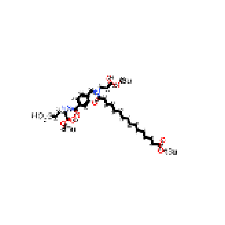 CC(C)(C)OC(=O)CCCCCCCCCCCCCCC(=O)N(CCC(=O)OC(C)(C)C)Cc1ccc(C(=O)N[C@@H](CCC(=O)O)C(=O)OC(C)(C)C)cc1